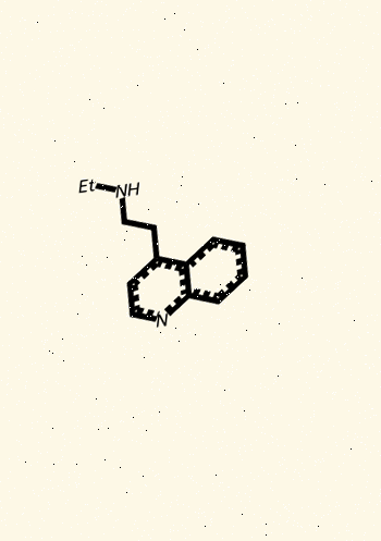 CCNCCc1ccnc2ccccc12